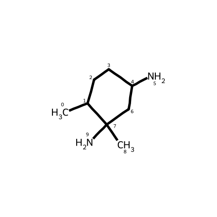 CC1CCC(N)CC1(C)N